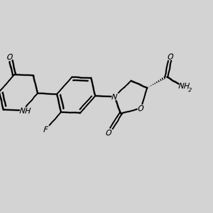 NC(=O)[C@H]1CN(c2ccc(C3CC(=O)C=CN3)c(F)c2)C(=O)O1